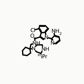 CC(C)[C@@H]1CN(C2(CNC(=O)c3cn(-c4ncccc4N)c4cccc(Cl)c34)CCCCC2)CCN1